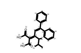 CC(C)C(C)C(C=C(c1ccccc1)c1ccccc1)=C(C(=O)O)C(=O)O